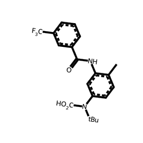 Cc1ccc(N(C(=O)O)C(C)(C)C)cc1NC(=O)c1cccc(C(F)(F)F)c1